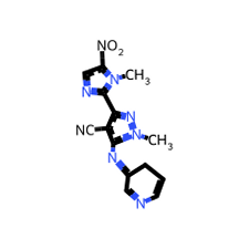 Cn1nc(-c2ncc([N+](=O)[O-])n2C)c(C#N)c1N=C1C=NC=CC1